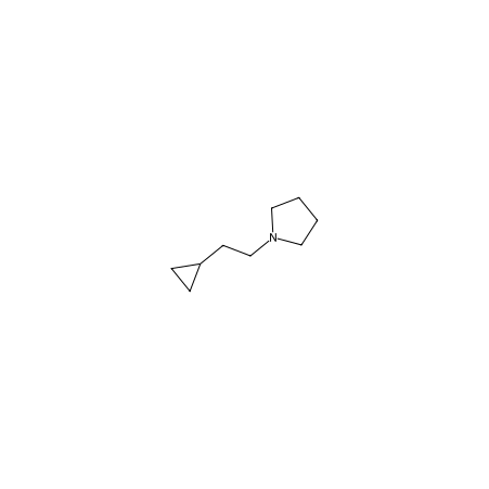 C1CCN(CCC2CC2)C1